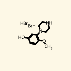 Br.Br.COc1ccc(O)cc1N1CCNCC1